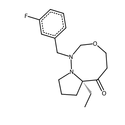 CC[C@]12CCCN1N(Cc1cccc(F)c1)COCCC2=O